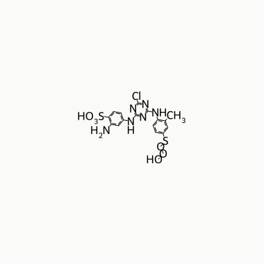 Cc1cc(SOOO)ccc1Nc1nc(Cl)nc(Nc2ccc(S(=O)(=O)O)c(N)c2)n1